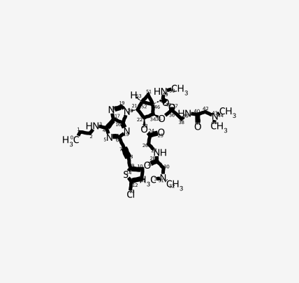 CCCNc1nc(C#Cc2ccc(Cl)s2)nc2c1ncn2[C@H]1[C@H](OC(=O)CNC(=O)CN(C)C)[C@H](OC(=O)CNC(=O)CN(C)C)[C@]2(C(=O)NC)C[C@H]12